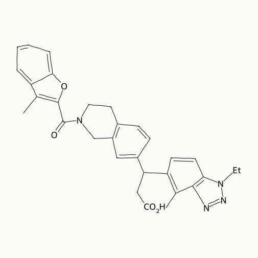 CCn1nnc2c(C)c(C(CC(=O)O)c3ccc4c(c3)CN(C(=O)c3oc5ccccc5c3C)CC4)ccc21